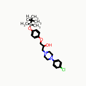 CC(C)(C)[Si](C)(C)Oc1ccc(OCC(O)CN2CCN(c3ccc(Cl)cc3)CC2)cc1